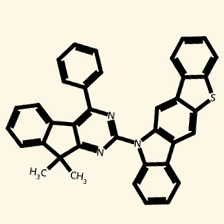 CC1(C)c2ccccc2-c2c(-c3ccccc3)nc(-n3c4ccccc4c4cc5sc6ccccc6c5cc43)nc21